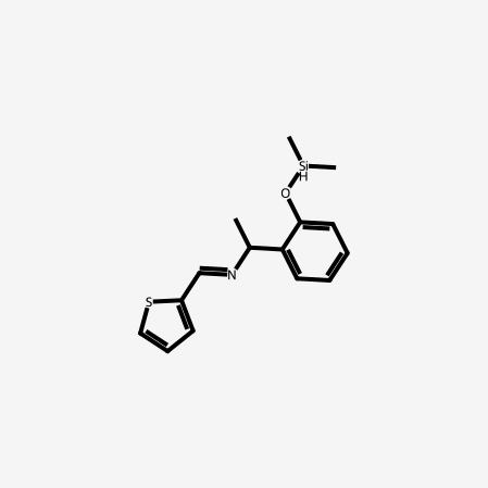 CC(N=Cc1cccs1)c1ccccc1O[SiH](C)C